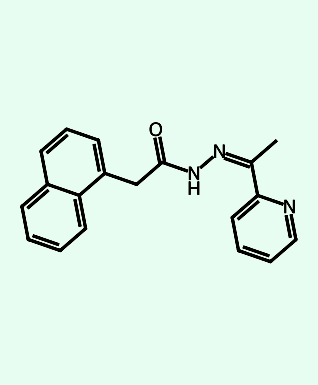 CC(=NNC(=O)Cc1cccc2ccccc12)c1ccccn1